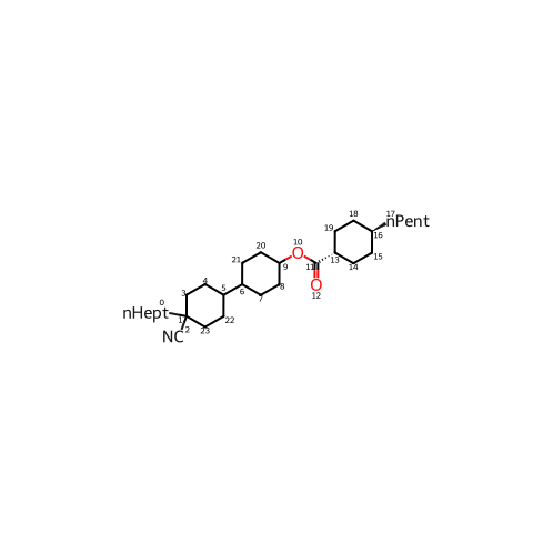 CCCCCCCC1(C#N)CCC(C2CCC(OC(=O)[C@H]3CC[C@H](CCCCC)CC3)CC2)CC1